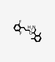 Cc1cccc(C)c1C(CN)OCCCc1c(F)cccc1F